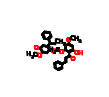 C=CC(C1=CC(=O)C(OC)=CC1=O)c1ccccc1.COc1cc(O)c(C(=O)C=Cc2ccccc2)c(OC)c1